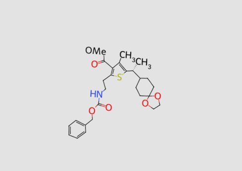 COC(=O)c1c(CCNC(=O)OCc2ccccc2)sc([C@H](C)C2CCC3(CC2)OCCO3)c1C